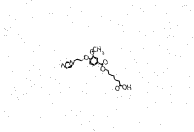 COc1cc(C(=O)OCCCCCC(=O)O)ccc1OCCn1ccnc1